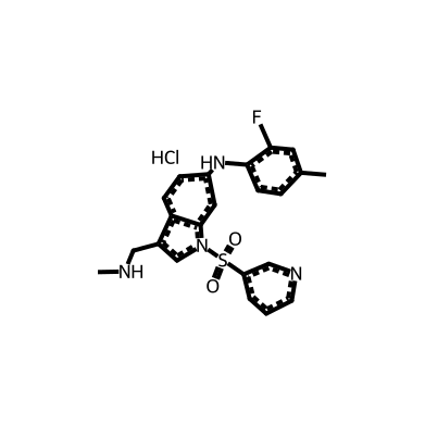 CNCc1cn(S(=O)(=O)c2cccnc2)c2cc(Nc3ccc(C)cc3F)ccc12.Cl